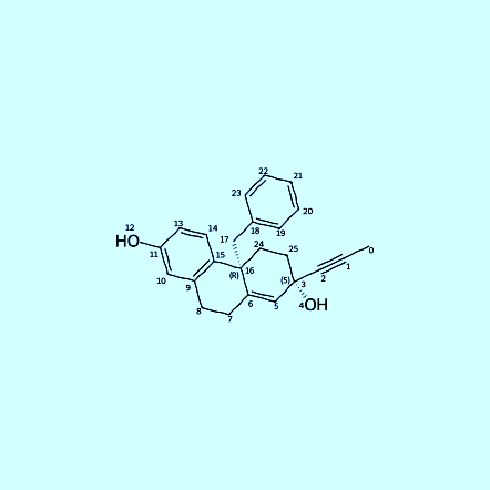 CC#C[C@@]1(O)C=C2CCc3cc(O)ccc3[C@@]2(Cc2ccccc2)CC1